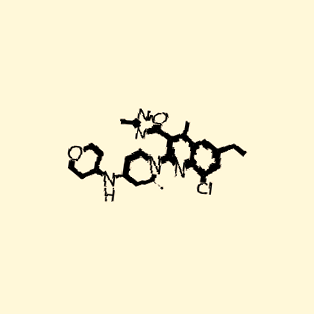 CCc1cc(Cl)c2nc(N3CC[C@H](NC4CCOCC4)C[C@H]3C)c(-c3nc(C)no3)c(C)c2c1